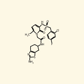 Cc1ccc(NS(=O)(=O)Cc2ccc(F)cc2Cl)c(=O)n1CC(=O)NC1CCc2nc(N)sc2C1